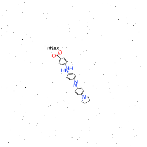 CCCCCCOC(=O)c1ccc(NNc2ccc(/N=N/c3ccc(N4CCCC4)cc3)cc2)cc1